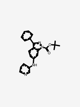 CC(C)(C)OC(=O)n1nc(-c2ccccc2)c2ccc(Nc3cccnc3)cc21